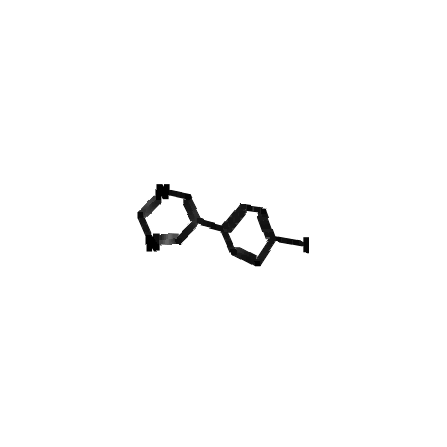 Ic1ccc(-c2cncnc2)cc1